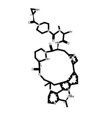 CCn1c(-c2cccnc2[C@H](C)OC)c2c3cc(ccc31)-c1csc(n1)C[C@H](NC(=O)C(C(C)C)N(C)C(=O)N1CCN(C(=O)[C@H]3CN3)CC1)C(=O)N1CCC[C@H](N1)C(=O)OCC(C)(C)C2